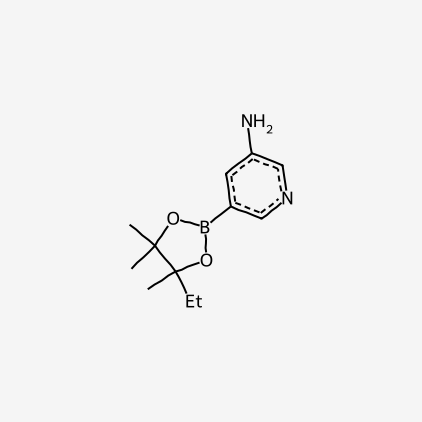 CCC1(C)OB(c2cncc(N)c2)OC1(C)C